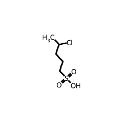 CC(Cl)CCCS(=O)(=O)O